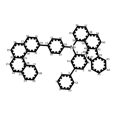 c1ccc(-c2cccc(N(c3ccc(-c4ccc5ccc6ccc7ccccc7c6c5c4)cc3)c3cccc4ccc5c6ccccc6oc5c34)c2)cc1